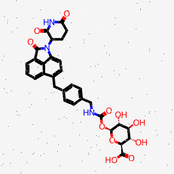 O=C1CCC(N2C(=O)c3cccc4c(Cc5ccc(CNC(=O)O[C@@H]6O[C@H](C(=O)O)[C@@H](O)[C@H](O)[C@H]6O)cc5)ccc2c34)C(=O)N1